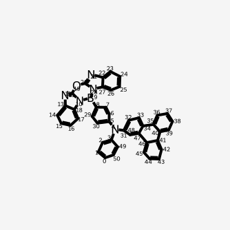 c1ccc(N(c2ccc(B3n4c(nc5ccccc54)Oc4nc5ccccc5n43)cc2)c2ccc3c4ccccc4c4ccccc4c3c2)cc1